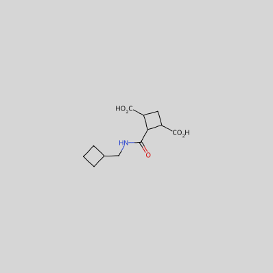 O=C(O)C1CC(C(=O)O)C1C(=O)NCC1CCC1